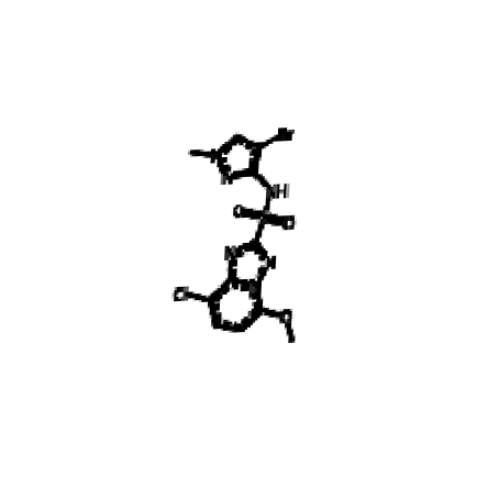 COc1ccc(Cl)c2nc(S(=O)(=O)Nc3nn(C)cc3Br)nn12